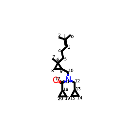 CC(C)=CCCC1(C)CC1CN(CC1CC1)C(=O)C1CC1